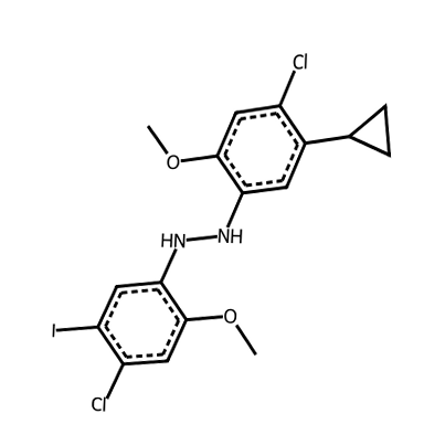 COc1cc(Cl)c(I)cc1NNc1cc(C2CC2)c(Cl)cc1OC